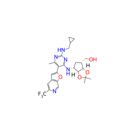 Cc1nc(NCC2CC2)nc(N[C@@H]2C[C@H](CO)[C@H]3OC(C)(C)O[C@H]32)c1-c1cc2cc(C(F)(F)F)ncc2o1